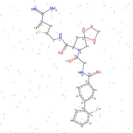 N=C(N)C1=CSC(CNC(=O)C2CC3(CN2C(=O)CNC(=O)c2ccc(-c4ccccc4F)cc2)OCCO3)C1